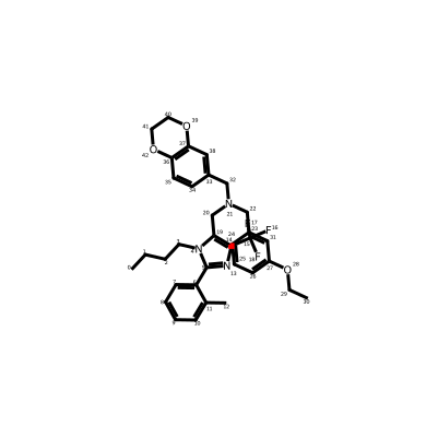 CCCCn1c(-c2ccccc2C)nc(C(F)(F)F)c1CN(Cc1cccc(OCC)c1)Cc1ccc2c(c1)OCCO2